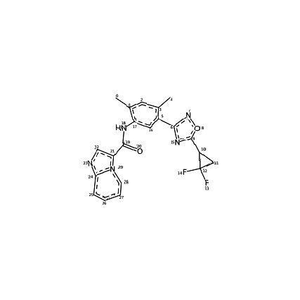 Cc1cc(C)c(-c2noc(C3CC3(F)F)n2)cc1NC(=O)c1cnc2ccccn12